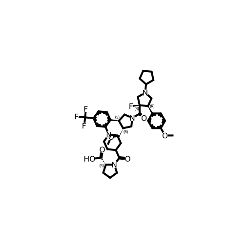 COC[C@H]1CN(C(=O)[C@]2(F)CN(C3CCCC3)C[C@H]2c2ccc(OC)cc2)C[C@@H]1c1ccc(C(F)(F)F)cc1N1CCC(C(=O)N2CCC[C@@H]2C(=O)O)CC1